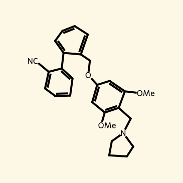 COc1cc(OCc2ccccc2-c2ccccc2C#N)cc(OC)c1CN1CCCC1